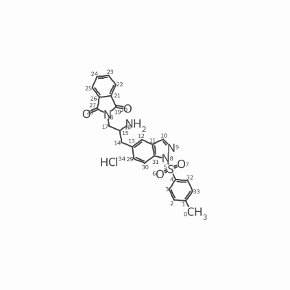 Cc1ccc(S(=O)(=O)n2ncc3cc(CC(N)CN4C(=O)c5ccccc5C4=O)ccc32)cc1.Cl